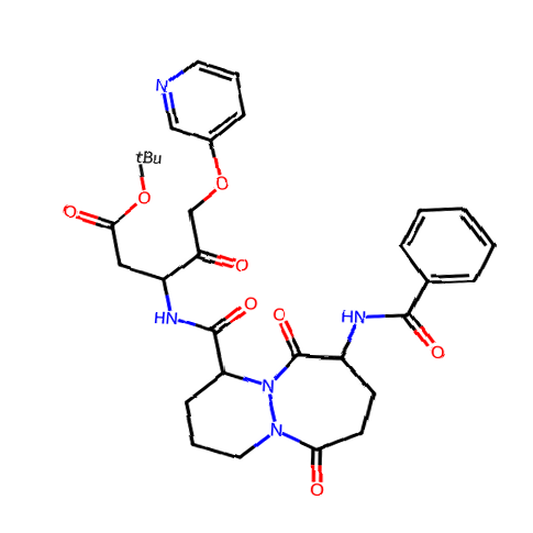 CC(C)(C)OC(=O)CC(NC(=O)C1CCCN2C(=O)CCC(NC(=O)c3ccccc3)C(=O)N12)C(=O)COc1cccnc1